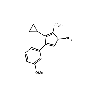 CCOC(=O)c1c(C2CC2)c(-c2cccc(OC)c2)cn1N